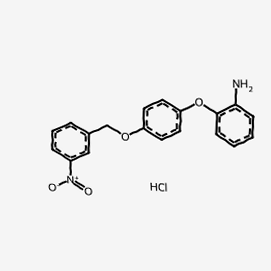 Cl.Nc1ccccc1Oc1ccc(OCc2cccc([N+](=O)[O-])c2)cc1